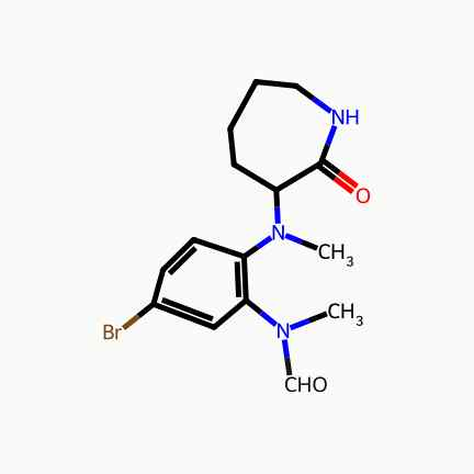 CN(C=O)c1cc(Br)ccc1N(C)C1CCCCNC1=O